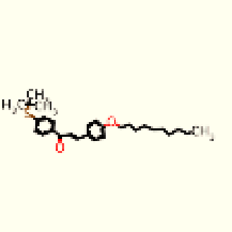 CCCCCCCCCCOc1ccc(C=CC(=O)c2ccc(SC(C)(C)C)cc2)cc1